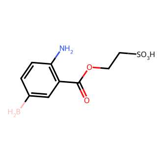 Bc1ccc(N)c(C(=O)OCCS(=O)(=O)O)c1